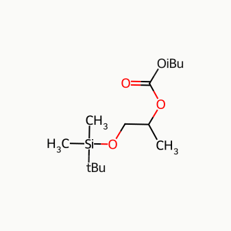 CC(C)COC(=O)OC(C)CO[Si](C)(C)C(C)(C)C